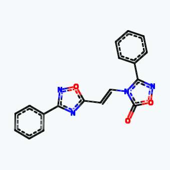 O=c1onc(-c2ccccc2)n1C=Cc1nc(-c2ccccc2)no1